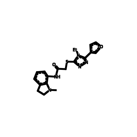 CCn1c(SCC(=O)Nc2cccc3c2N(C)CC3)nnc1-c1ccoc1